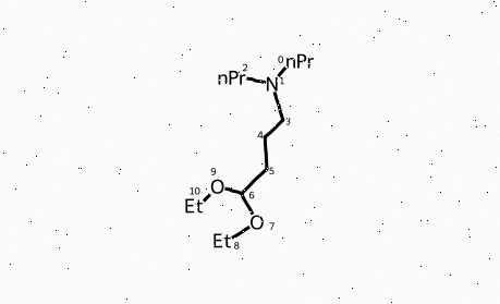 CCCN(CCC)CCCC(OCC)OCC